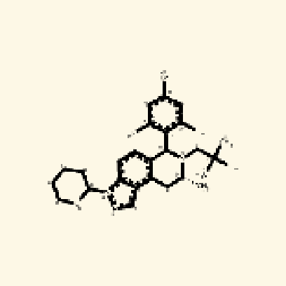 C[C@@H]1Cc2c(ccc3c2cnn3C2CCCCO2)C(c2c(F)cc(Br)cc2F)N1CC(C)(C)F